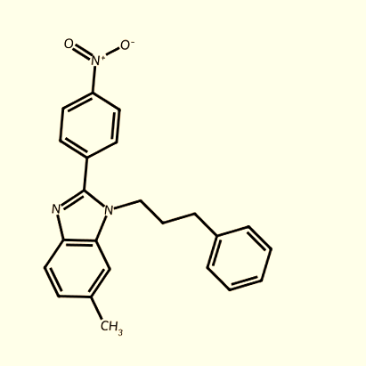 Cc1ccc2nc(-c3ccc([N+](=O)[O-])cc3)n(CCCc3ccccc3)c2c1